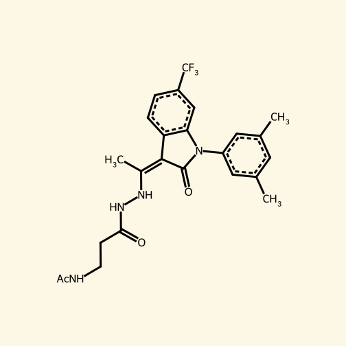 CC(=O)NCCC(=O)NN/C(C)=C1\C(=O)N(c2cc(C)cc(C)c2)c2cc(C(F)(F)F)ccc21